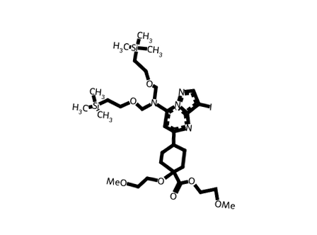 COCCOC(=O)C1(OCCOC)CCC(c2cc(N(COCC[Si](C)(C)C)COCC[Si](C)(C)C)n3ncc(I)c3n2)CC1